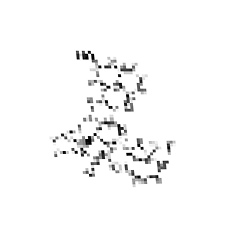 CN1C(=O)C2C3CCC(CN2c2c4c(nc(OCC56CCCN5CC(F)C6)c21)CN(c1cc(O)cc2cccc(Cl)c12)CC4)N3